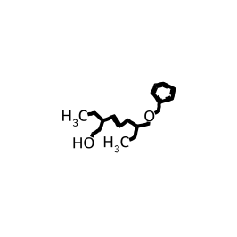 CCC(/C=C/CC(CC)COCc1ccccc1)CCO